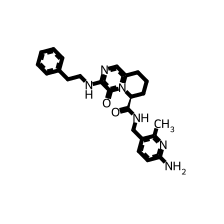 Cc1nc(N)ccc1CNC(=O)[C@@H]1CCCc2cnc(NCCc3ccccc3)c(=O)n21